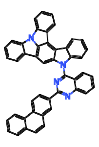 c1ccc2c(c1)ccc1cc(-c3nc(-n4c5ccccc5c5c6c7ccccc7n7c8ccccc8c(cc54)c67)c4ccccc4n3)ccc12